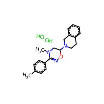 Cc1ccc(C2=NOC(N3CCc4ccccc4C3)CN2C)cc1.Cl.Cl